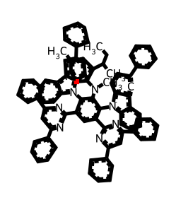 CCC(C)c1cc(C)ccc1N(C)c1c(-n2c3ccccc3c3cc(-c4ccccc4)ccc32)c(-c2nc(-c3ccccc3)cc(-c3ccccc3)n2)cc(-c2nc(-c3ccccc3)cc(-c3ccccc3)n2)c1-n1c2ccccc2c2cc(-c3ccccc3)ccc21